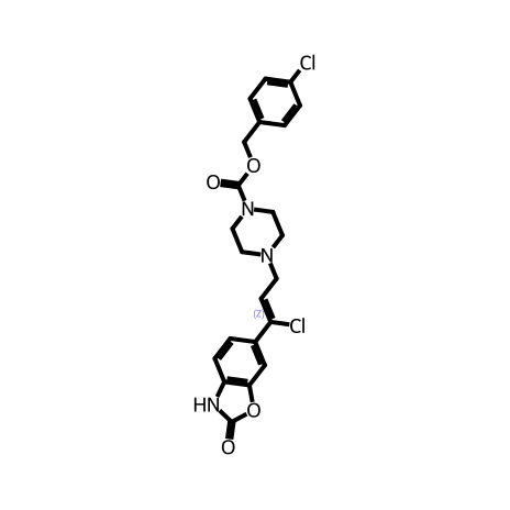 O=C(OCc1ccc(Cl)cc1)N1CCN(C/C=C(\Cl)c2ccc3[nH]c(=O)oc3c2)CC1